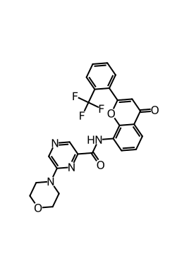 O=C(Nc1cccc2c(=O)cc(-c3ccccc3C(F)(F)F)oc12)c1cncc(N2CCOCC2)n1